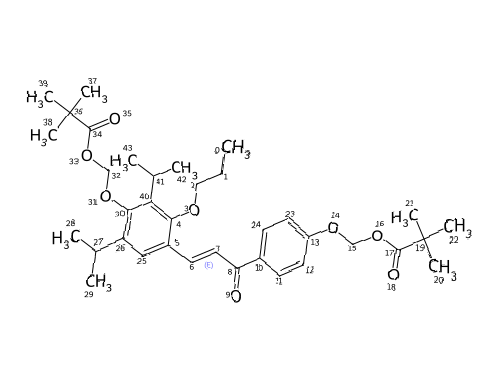 CCCOc1c(/C=C/C(=O)c2ccc(OCOC(=O)C(C)(C)C)cc2)cc(C(C)C)c(OCOC(=O)C(C)(C)C)c1C(C)C